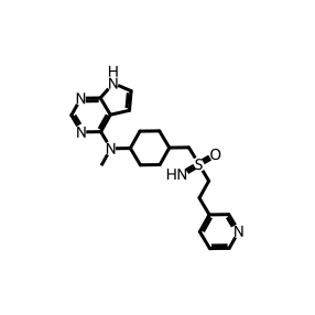 CN(c1ncnc2[nH]ccc12)C1CCC(CS(=N)(=O)CCc2cccnc2)CC1